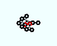 C1=CCCC(c2ccc(-c3nc(-n4c5ccccc5c5ccc6c7ccccc7n(-c7ccccc7)c6c54)nc(-n4c5ccccc5c5ccc6c7ccccc7n(-c7ccccc7)c6c54)n3)cc2)=C1